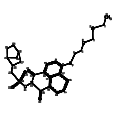 CCOCOCCSc1ccc2c3c(cccc13)C(=O)N(OS(=O)(=O)CC1CC3CCC1C3)C2=O